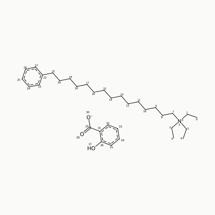 CC[N+](CC)(CC)CCCCCCCCCCCCCCCc1ccccc1.O=C([O-])c1ccccc1O